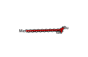 COCCOCCOCCOCCOCCOCCOCCOCCOCCOCCOCCOCCOCCOCCOCCOCCOCCOc1ccc(C(C)(C)CC(C)(C)C)cc1C(C)(C)CC(C)(C)C